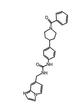 O=C(NCc1ccn2ccnc2c1)Nc1ccc(C2CCN(C(=O)c3ccccc3)CC2)cc1